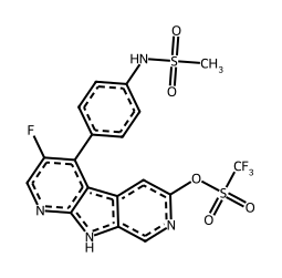 CS(=O)(=O)Nc1ccc(-c2c(F)cnc3[nH]c4cnc(OS(=O)(=O)C(F)(F)F)cc4c23)cc1